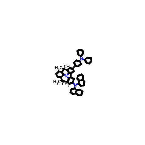 CC1(C)c2cccc3c2-n2c4c1cc(-c1ccc(N(c5ccccc5)c5ccccc5)cc1)cc4c1cc(N(c4cccc5ccccc45)c4cccc5ccccc45)cc(c12)C3(C)C